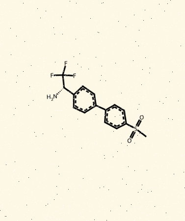 CS(=O)(=O)c1ccc(-c2ccc([C@H](N)C(F)(F)F)cc2)cc1